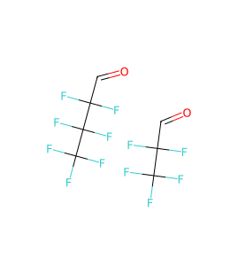 O=CC(F)(F)C(F)(F)C(F)(F)F.O=CC(F)(F)C(F)(F)F